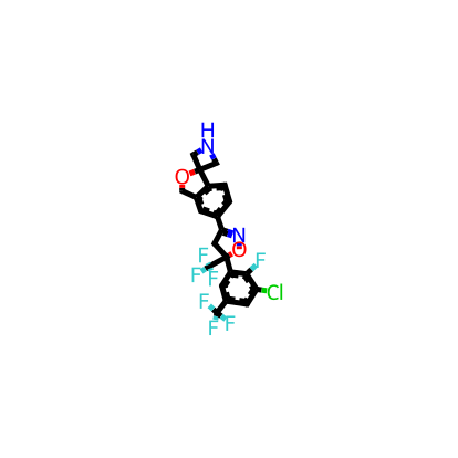 Fc1c(Cl)cc(C(F)(F)F)cc1C1(C(F)(F)F)CC(c2ccc3c(c2)COC32CNC2)=NO1